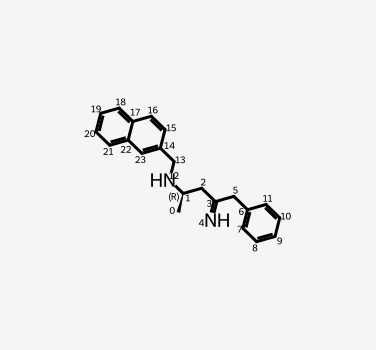 C[C@H](CC(=N)Cc1ccccc1)NCc1ccc2ccccc2c1